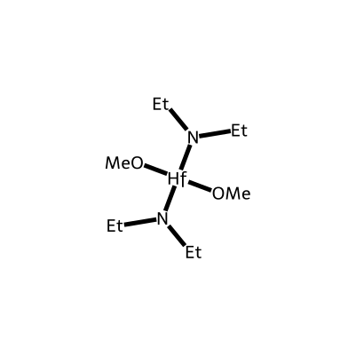 CC[N](CC)[Hf]([O]C)([O]C)[N](CC)CC